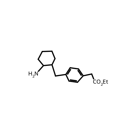 CCOC(=O)Cc1ccc(CC2CCCCC2N)cc1